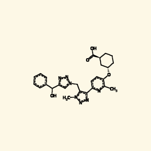 Cc1nc(-c2nnn(C)c2Cn2cc(C(O)c3ccccc3)nn2)ccc1O[C@H]1CCC[C@H](C(=O)O)C1